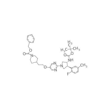 Cc1ccc(F)c([C@H]2CN(c3ncc(OCCC4CCN(C(=O)OCc5ccccc5)CC4)cn3)C[C@@H]2NC(=O)OC(C)(C)C)c1